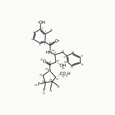 Cc1c(O)cccc1C(=O)NC(Cc1ccccc1)[C@H](O)C(=O)N1CC(F)(F)C(C)(C)[C@H]1C(=O)O